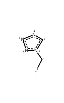 ICn1cnnn1